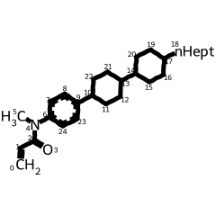 C=CC(=O)N(C)c1ccc(C2CCC(C3CCC(CCCCCCC)CC3)CC2)cc1